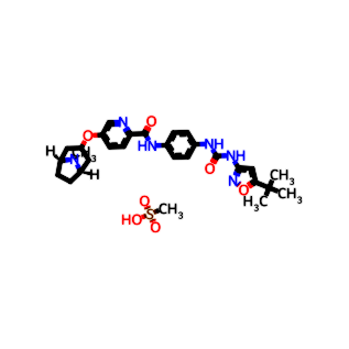 CN1[C@@H]2CC[C@H]1CC(Oc1ccc(C(=O)Nc3ccc(NC(=O)Nc4cc(C(C)(C)C)on4)cc3)nc1)C2.CS(=O)(=O)O